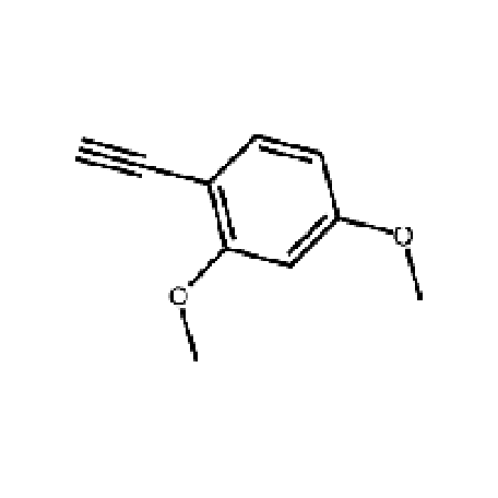 C#Cc1ccc(OC)cc1OC